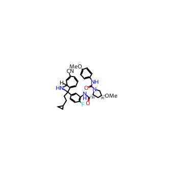 COc1ccc(NC(=O)N2C[C@H](OC)C[C@@H]2C(=O)Nc2cc(C3(CCC4CC4)N[C@@H]4C=C(C#N)C=CC=C43)ccc2F)cc1